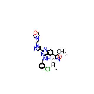 Cc1noc(C)c1-c1ccc2nc(-c3cnn(CCN4CCOCC4)c3)nc(NCc3cccc(Cl)c3)c2c1